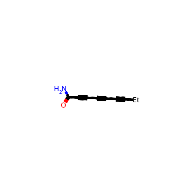 CCC#CC#CC#CC(N)=O